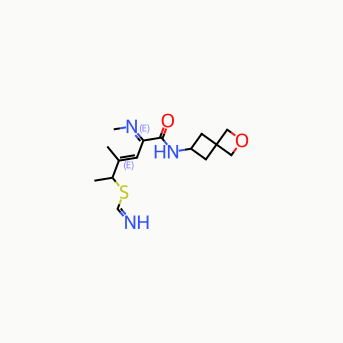 C/N=C(\C=C(/C)C(C)SC=N)C(=O)NC1CC2(COC2)C1